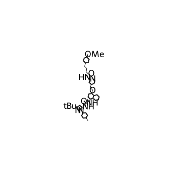 COc1ccc(CCCC(=O)Nc2cc(COc3ccc(NC(=O)Nc4cc(C(C)(C)C)nn4-c4ccc(C)cc4)c4ccccc34)ccn2)cc1